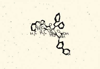 Cc1cccc(CN2CCN([C@H](C(=O)N[C@@H](C[C@@H](O)[C@H](Cc3ccc(-c4ccncc4)cc3)NC(=O)O)C(Cc3ccccc3)c3ccccc3)C(C)(C)C)C2=O)n1